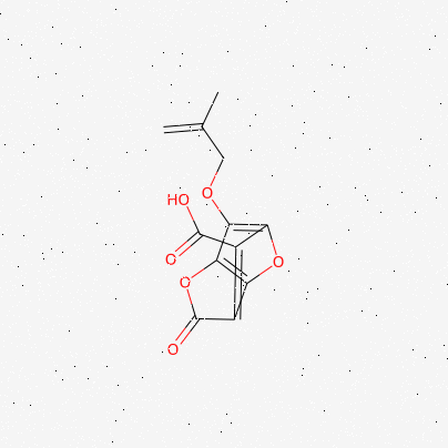 C=C(C)COc1c2c3oc1c(C(=O)O)c3C(=O)O2